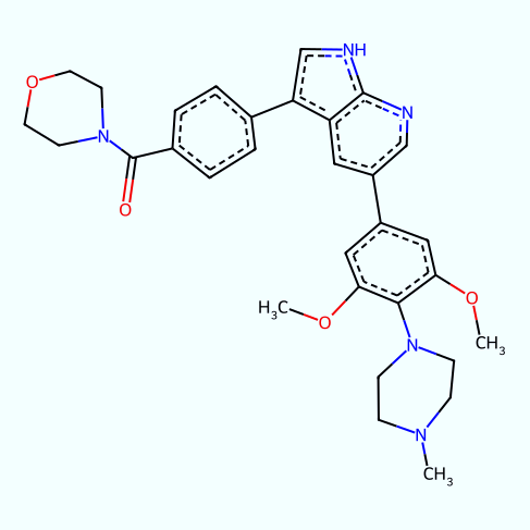 COc1cc(-c2cnc3[nH]cc(-c4ccc(C(=O)N5CCOCC5)cc4)c3c2)cc(OC)c1N1CCN(C)CC1